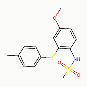 COc1ccc(NS(C)(=O)=O)c(Sc2ccc(C)cc2)c1